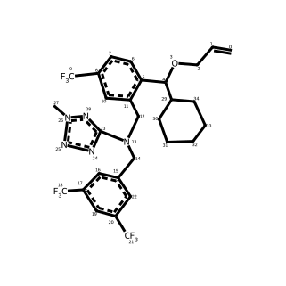 C=CCOC(c1ccc(C(F)(F)F)cc1CN(Cc1cc(C(F)(F)F)cc(C(F)(F)F)c1)c1nnn(C)n1)C1CCCCC1